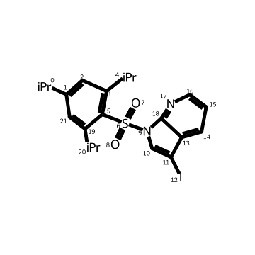 CC(C)c1cc(C(C)C)c(S(=O)(=O)n2cc(I)c3cccnc32)c(C(C)C)c1